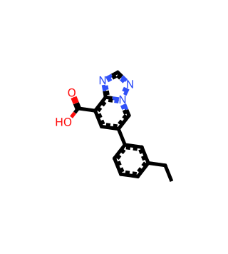 CCc1cccc(-c2cc(C(=O)O)c3ncnn3c2)c1